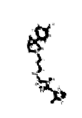 Cc1ncoc1-c1nnc(SCCCN2CC3CC3(c3ccc(F)cc3)C2)n1C